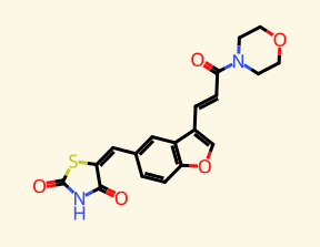 O=C1NC(=O)/C(=C\c2ccc3occ(/C=C/C(=O)N4CCOCC4)c3c2)S1